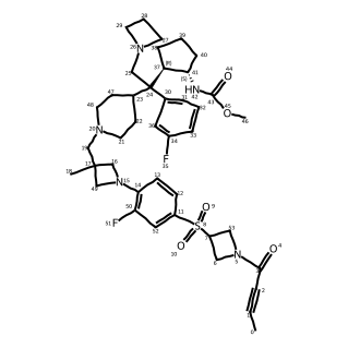 CC#CC(=O)N1CC(S(=O)(=O)c2ccc(N3CC(C)(CN4CCC(C(CN5CCC5)(c5cccc(F)c5)[C@H]5CCC[C@@H]5NC(=O)OC)CC4)C3)c(F)c2)C1